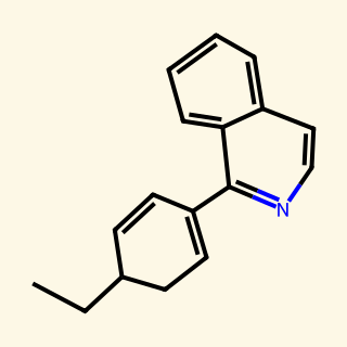 CCC1C=CC(c2nccc3ccccc23)=CC1